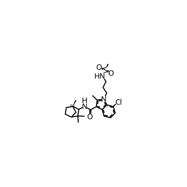 Cc1c(C(=O)NC2C(C)(C)C3CC[C@@]2(C)C3)c2cccc(Cl)c2n1CCCNS(C)(=O)=O